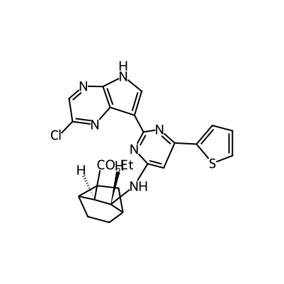 CCOC(=O)[C@@H]1C2CCC(CC2)[C@H]1Nc1cc(-c2cccs2)nc(-c2c[nH]c3ncc(Cl)nc23)n1